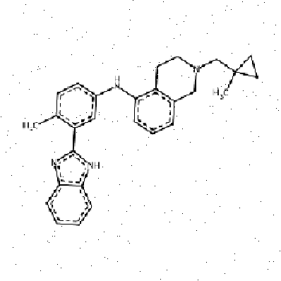 Cc1ccc(Nc2cccc3c2CCN(CC2(C)CC2)C3)cc1-c1nc2ccccc2[nH]1